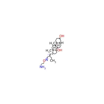 CCC(/C=N/OCCN)=C\[C@H]1CC[C@]2(O)[C@@H]3CC[C@@H]4C[C@@H](O)CC[C@]4(C)[C@H]3CC[C@]12C